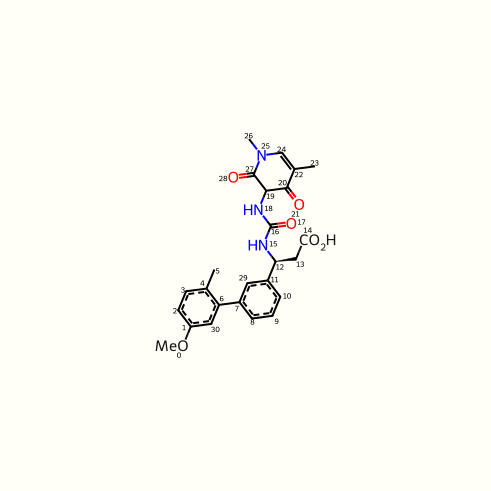 COc1ccc(C)c(-c2cccc([C@H](CC(=O)O)NC(=O)NC3C(=O)C(C)=CN(C)C3=O)c2)c1